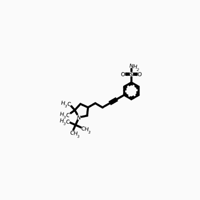 CC(C)(C)N1CC(CCC#Cc2cccc(S(N)(=O)=O)c2)CC1(C)C